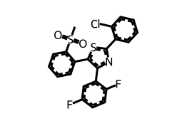 CS(=O)(=O)c1ccccc1-c1sc(-c2ccccc2Cl)nc1-c1cc(F)ccc1F